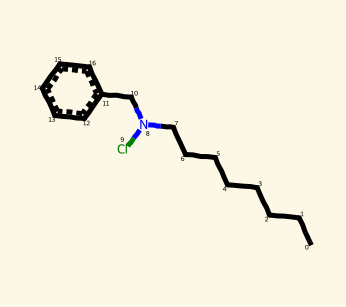 CCCCCCCCN(Cl)Cc1ccccc1